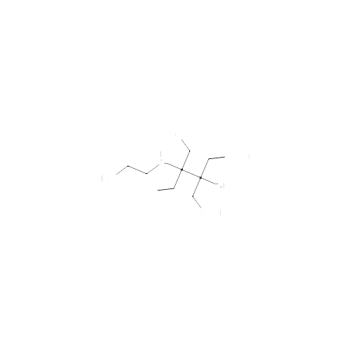 NC(CC(=O)O)(CC(=O)O)C(CC(=O)O)(CC(=O)O)NCCO